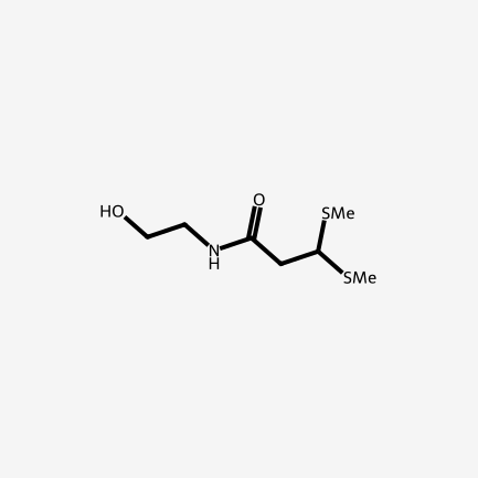 CSC(CC(=O)NCCO)SC